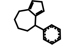 C1=C2CCCCC(c3ccccc3)C2=CC1